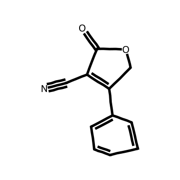 N#CC1=C(c2ccccc2)COC1=O